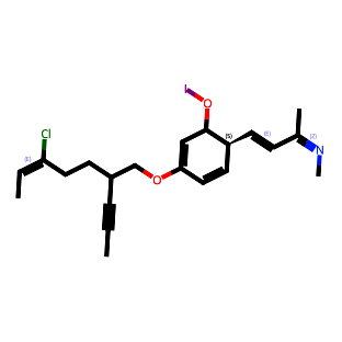 CC#CC(CC/C(Cl)=C\C)COC1=CC(OI)[C@@H](/C=C/C(C)=N\C)C=C1